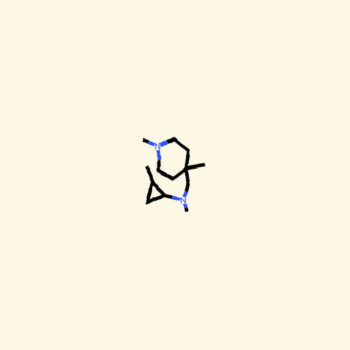 CC1CC1N(C)CC1(C)CCN(C)CC1